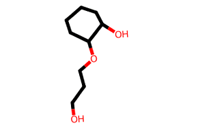 OCCCOC1CCCCC1O